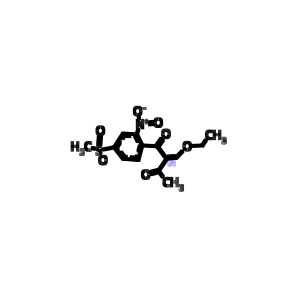 CCO/C=C(/C(C)=O)C(=O)c1ccc(S(C)(=O)=O)cc1[N+](=O)[O-]